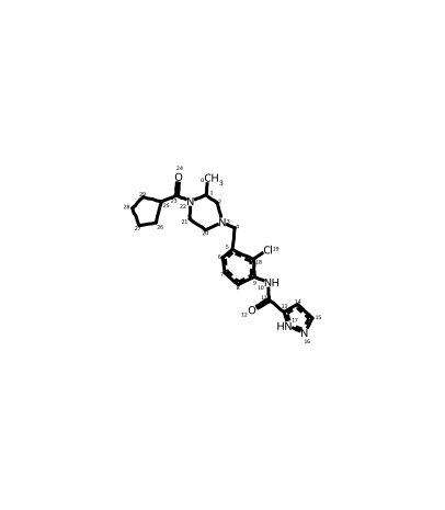 CC1CN(Cc2cccc(NC(=O)c3ccn[nH]3)c2Cl)CCN1C(=O)C1CCCC1